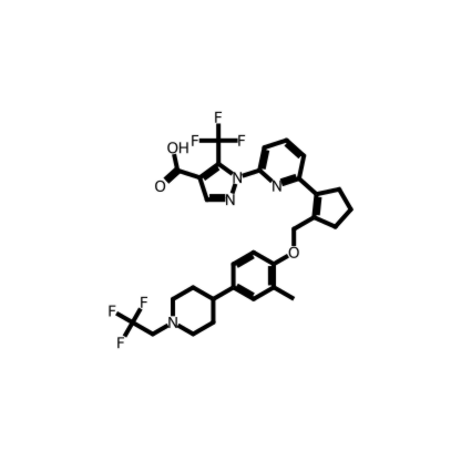 Cc1cc(C2CCN(CC(F)(F)F)CC2)ccc1OCC1=C(c2cccc(-n3ncc(C(=O)O)c3C(F)(F)F)n2)CCC1